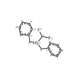 FC(F)[SH](Cc1ccccc1)Cc1ccccc1